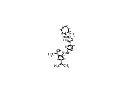 CC(C)c1cn(C(C)C)nc1CNc1nc(C(=O)NS(=O)(=O)N2CCOCCC2C)co1